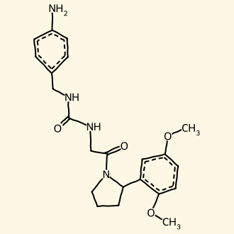 COc1ccc(OC)c(C2CCCN2C(=O)CNC(=O)NCc2ccc(N)cc2)c1